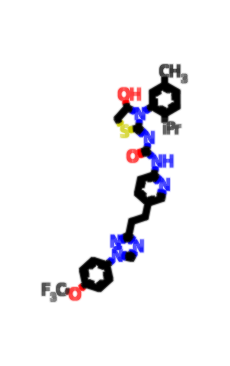 Cc1ccc(C(C)C)c(N2/C(=N/C(=O)Nc3ccc(CCc4ncn(-c5ccc(OC(F)(F)F)cc5)n4)cn3)SCC2O)c1